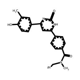 Cc1cc(-c2cc(-c3ccc(C(=O)N(C)CC(C)C)cc3)[nH]c(=O)n2)ccc1O